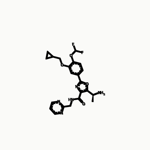 C[C@H](N)c1oc(-c2ccc(OC(F)F)c(OCC3CC3)c2)nc1C(=O)NCc1ncccn1